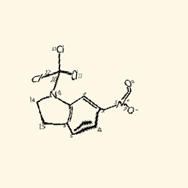 O=[N+]([O-])c1ccc2c(c1)N(C(Cl)(Cl)Cl)CC2